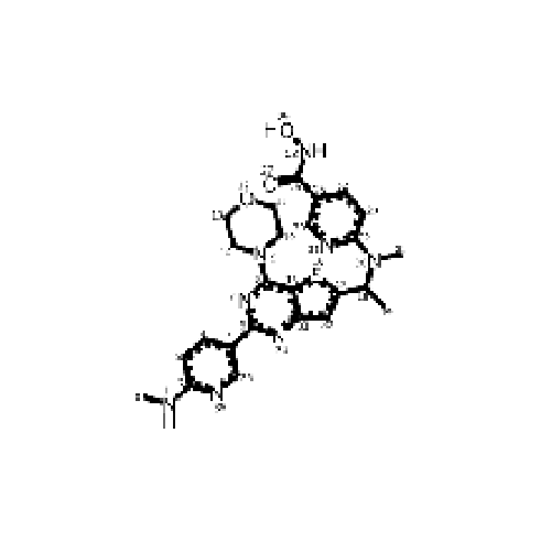 CNc1ccc(-c2nc(N3CCOCC3)c3sc(C(C)N(C)c4ccc(C(=O)NO)cn4)cc3n2)cn1